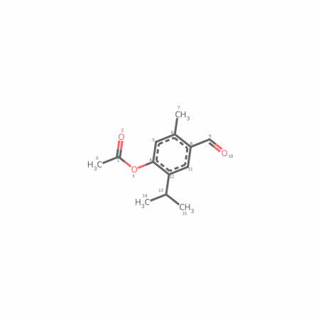 CC(=O)Oc1cc(C)c(C=O)cc1C(C)C